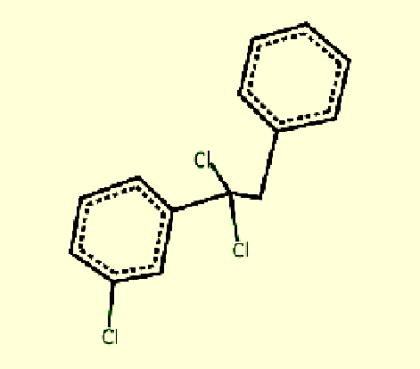 Clc1cccc(C(Cl)(Cl)Cc2ccccc2)c1